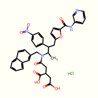 CC(C(Cc1ccc(C(=O)Nc2cccnc2)o1)c1ccc([N+](=O)[O-])cc1)N(Cc1ccc2ccccc2c1)C(=O)CC(CC(=O)O)C(=O)O.Cl